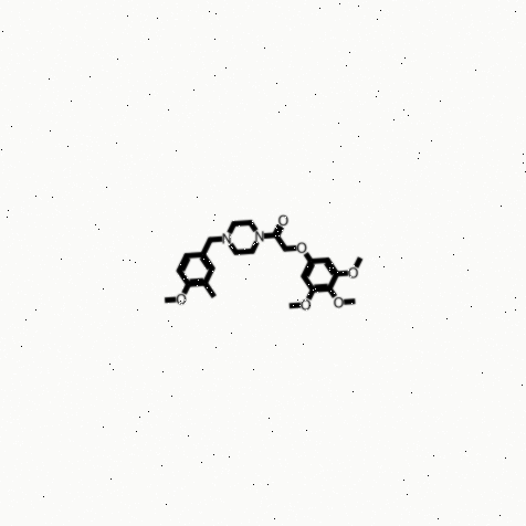 COc1ccc(CN2CCN(C(=O)COc3cc(OC)c(OC)c(OC)c3)CC2)cc1C